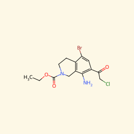 CCOC(=O)N1CCc2c(Br)cc(C(=O)CCl)c(N)c2C1